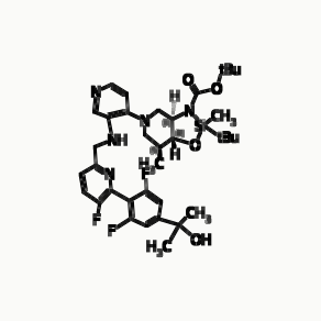 C[C@H]1CN(c2ccncc2NCc2ccc(F)c(-c3c(F)cc(C(C)(C)O)cc3F)n2)C[C@@H]2[C@@H]1O[Si](C)(C(C)(C)C)N2C(=O)OC(C)(C)C